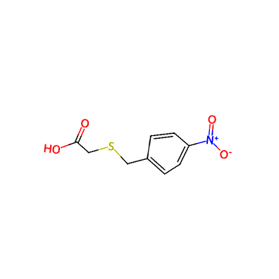 O=C(O)CSCc1ccc([N+](=O)[O-])cc1